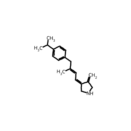 C=C1CNC/C1=C/C=C(\C)Cc1ccc(C(C)C)cc1